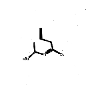 C=CCC(CC)=NC(C)CCCC